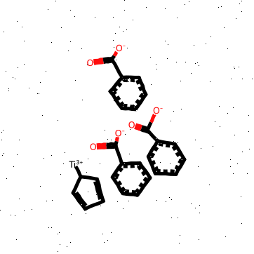 O=C([O-])c1ccccc1.O=C([O-])c1ccccc1.O=C([O-])c1ccccc1.[Ti+3][CH]1C=CC=C1